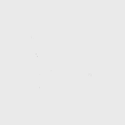 C=CC(=O)OC.CN(C)C.C[CH2][Al][CH2]C.Cl